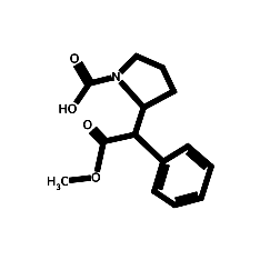 COC(=O)C(c1ccccc1)C1CCCN1C(=O)O